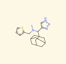 CN(Cc1cccs1)C(c1c[nH]nn1)C12CC3CC(CC(C3)C1)C2